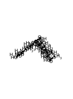 CC(C)C[C@H](N)C(=O)O.CC(C)C[C@H](N)C(=O)O.CC(C)C[C@H](N)C(=O)O.CC(O)CO.CO.CO.CO.CSCC[C@H](N)C(=O)O.CSCC[C@H](N)C(=O)O.CSCC[C@H](N)C(=O)O.N[C@@H](CO)C(=O)O.N[C@@H](Cc1ccccc1)C(=O)O